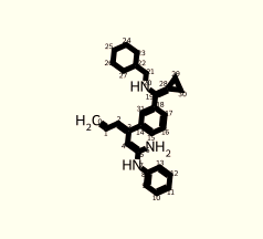 C=C/C=C(\C=C(/N)Nc1ccccc1)c1cccc(C(NCC2CCCCC2)=C2CC2)c1